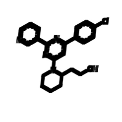 OCCC1CCCCN1c1cc(-c2ccc(Cl)cc2)nc(-c2cccnc2)n1